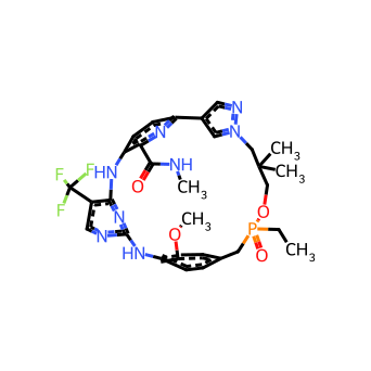 CCP1(=O)Cc2ccc(c(OC)c2)Nc2ncc(C(F)(F)F)c(n2)Nc2ccc(nc2C(=O)NC)-c2cnn(c2)CC(C)(C)CO1